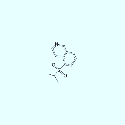 CC(C)S(=O)(=O)c1cccc2cnccc12